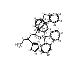 CCC(CC(O[Si](c1ccccc1)(c1ccccc1)c1ccccc1)c1ccc2c(c1)-c1ccccc1C2)C1=CC=CC1